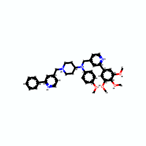 COc1ccc(N(Cc2ccnc(-c3cc(OC)c(OC)c(OC)c3)c2)C2CCN(Cc3ccnc(-c4ccccc4)c3)CC2)cc1